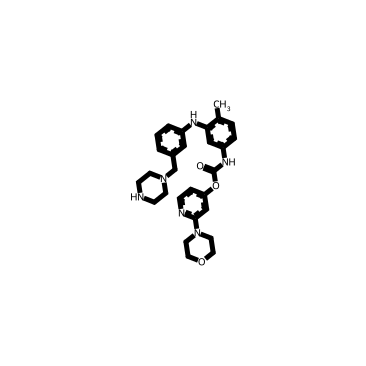 Cc1ccc(NC(=O)Oc2ccnc(N3CCOCC3)c2)cc1Nc1cccc(CN2CCNCC2)c1